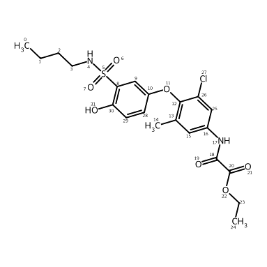 CCCCNS(=O)(=O)c1cc(Oc2c(C)cc(NC(=O)C(=O)OCC)cc2Cl)ccc1O